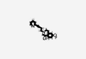 COc1ccc2c(c1)CCN(CCC#Cc1ccccn1)CC2O